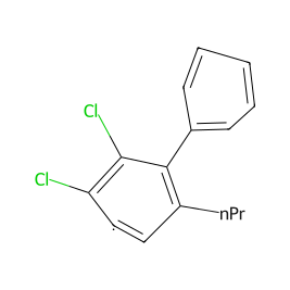 CCCc1c[c]c(Cl)c(Cl)c1-c1ccccc1